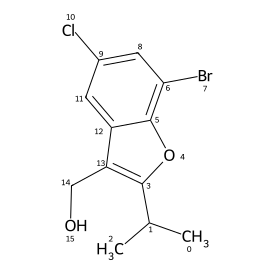 CC(C)c1oc2c(Br)cc(Cl)cc2c1CO